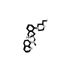 CN(C[C@@H]1Cc2c(cccc2N2CCOC(CF)C2)CN1)[C@H]1CCCc2cccnc21